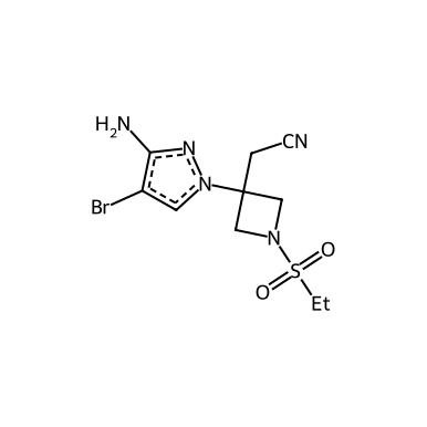 CCS(=O)(=O)N1CC(CC#N)(n2cc(Br)c(N)n2)C1